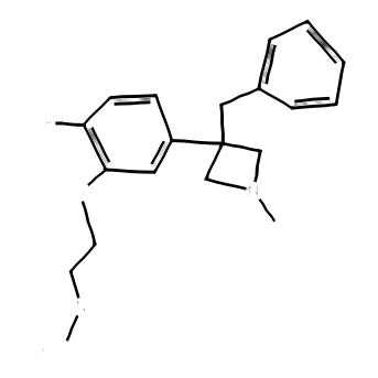 CN1CC(Cc2ccccc2)(c2ccc(F)c(OCCNC=O)c2)C1